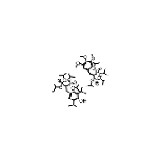 CC(C)OP(=O)(OC(C)C)C(Cc1cc(C(C)C)c(O)c(C(C)C)c1)P(=O)(OC(C)C)OC(C)C.COc1cc(C=C(P(=O)(OC(C)C)OC(C)C)P(=O)(OC(C)C)OC(C)C)cc(OC)c1OC